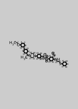 CCOc1cccc(-c2ccc(C(C)N3CCN(c4ccc(C(=O)NS(=O)(=O)c5ccc(NCCSc6ccccc6)c(N=O)c5)cc4)CC3)cc2)c1